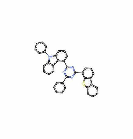 c1ccc(-c2nc(-c3cccc4c3sc3ccccc34)nc(-c3cccc4c3c3ccccc3n4-c3ccccc3)n2)cc1